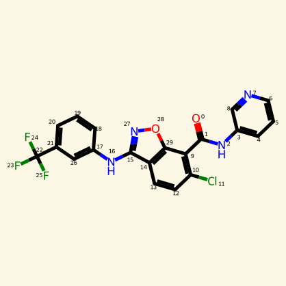 O=C(Nc1cccnc1)c1c(Cl)ccc2c(Nc3cccc(C(F)(F)F)c3)noc12